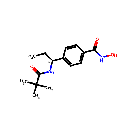 CC[C@H](NC(=O)C(C)(C)C)c1ccc(C(=O)NO)cc1